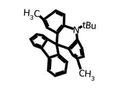 Cc1ccc2c(c1)C1(c3ccccc3-c3ccccc31)c1cc(C)ccc1N2C(C)(C)C